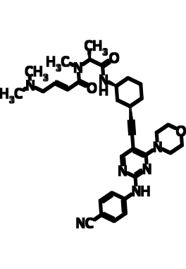 C[C@@H](C(=O)N[C@H]1CCC[C@@H](C#Cc2cnc(Nc3ccc(C#N)cc3)nc2N2CCOCC2)C1)N(C)C(=O)/C=C/CN(C)C